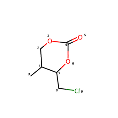 CC1COC(=O)OC1CCl